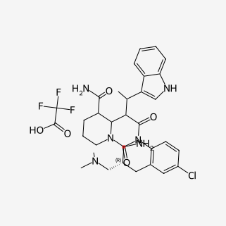 CC(c1c[nH]c2ccccc12)C(C(=O)N1C[C@@H](CN(C)C)Cc2cc(Cl)ccc21)C1C(C(N)=O)CCCN1C(N)=O.O=C(O)C(F)(F)F